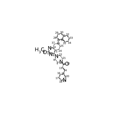 COc1nc2c(c(N3CCN(C(=O)/C=C/c4cccnc4)CC3)n1)CCC(c1cccc3ccccc13)C2